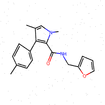 Cc1ccc(-c2c(C)cn(C)c2C(=O)NCc2ccco2)cc1